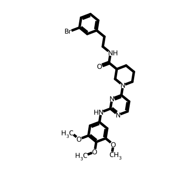 COc1cc(Nc2nccc(N3CCCC(C(=O)NCCc4cccc(Br)c4)C3)n2)cc(OC)c1OC